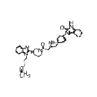 COCCCn1c([C@@H]2CCCN(C(=O)C[C@H](N)Cc3ccc(-n4c(=O)[nH]c5ccccc54)cc3)C2)nc2ccccc21